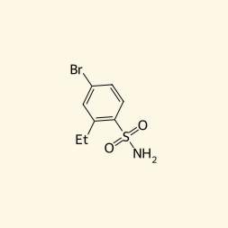 CCc1cc(Br)ccc1S(N)(=O)=O